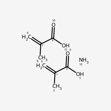 C=C(C)C(=O)O.C=C(C)C(=O)O.N